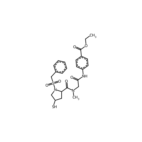 CCOC(=O)c1ccc(NC(=O)CN(C)C(=O)C2CC(S)CN2S(=O)(=O)Cc2ccccc2)cc1